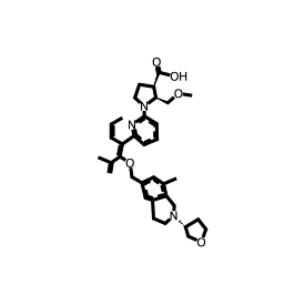 C=C(C)/C(OCc1cc(C)c2c(c1)CCN([C@@H]1CCOC1)C2)=C(\C=C/C)c1cccc(N2CC[C@@H](C(=O)O)[C@H]2COC)n1